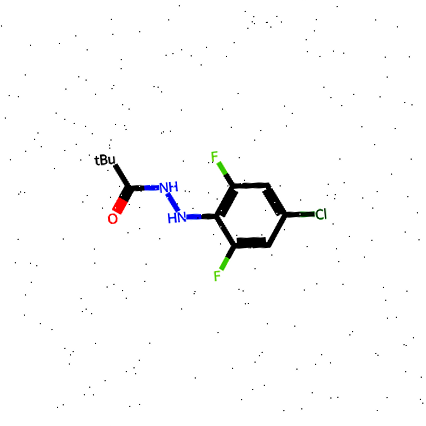 CC(C)(C)C(=O)NNc1c(F)cc(Cl)cc1F